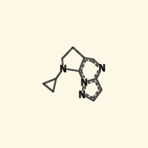 c1cc2ncc3c(n2n1)N(C1CC1)CC3